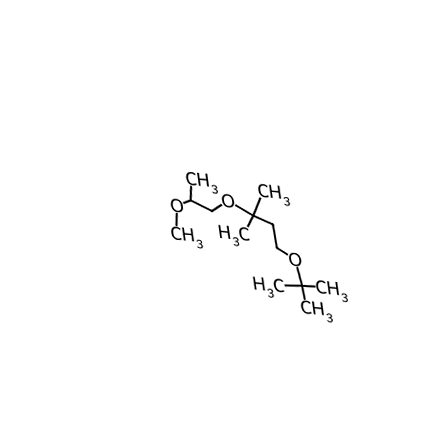 COC(C)COC(C)(C)CCOC(C)(C)C